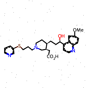 COc1ccc2nccc([C@H](O)CC[C@@H]3CCN(CCCSc4cccnc4)C[C@@H]3CC(=O)O)c2c1